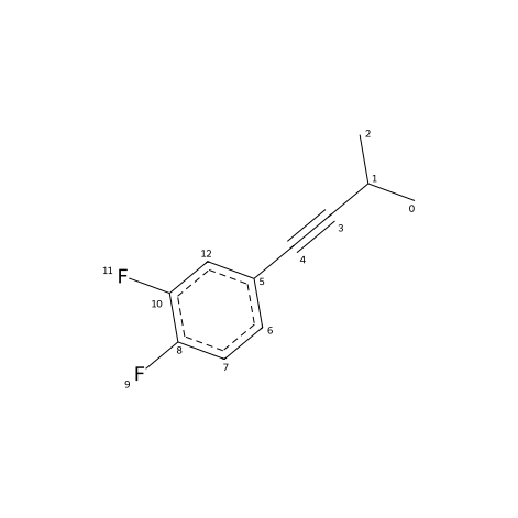 CC(C)C#Cc1ccc(F)c(F)c1